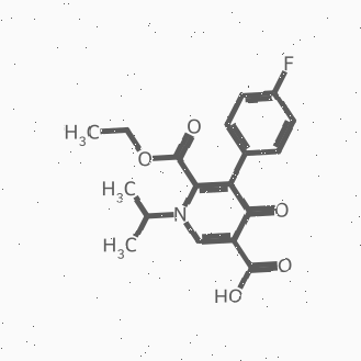 CCOC(=O)c1c(-c2ccc(F)cc2)c(=O)c(C(=O)O)cn1C(C)C